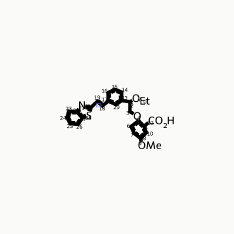 CCOC(COc1ccc(OC)cc1C(=O)O)c1cccc(/C=C/c2nc3ccccc3s2)c1